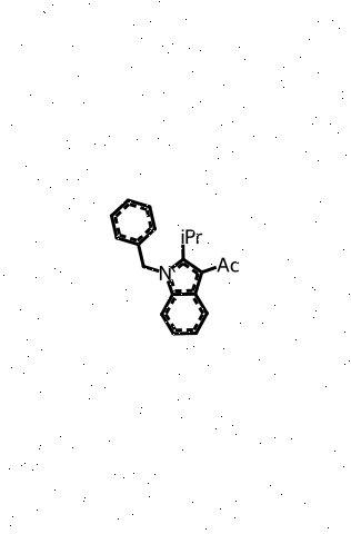 CC(=O)c1c(C(C)C)n(Cc2ccccc2)c2ccccc12